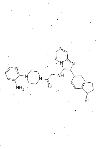 CCN1CCc2cc(-c3nc4cnccn4c3NCC(=O)N3CCN(c4ncccc4N)CC3)ccc21